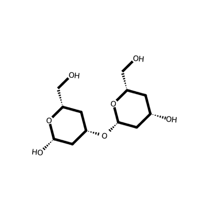 OC[C@@H]1C[C@H](O)C[C@H](O[C@H]2C[C@@H](CO)O[C@@H](O)C2)O1